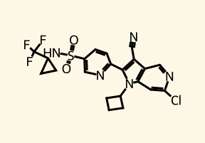 N#Cc1c(-c2ccc(S(=O)(=O)NC3(C(F)(F)F)CC3)cn2)n(C2CCC2)c2cc(Cl)ncc12